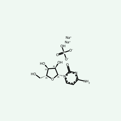 Nc1ccn([C@@H]2O[C@H](CO)[C@@H](O)[C@H]2O)c(=O)n1.O=P([O-])([O-])O.[Na+].[Na+]